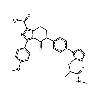 CNC(=O)N(C)Cc1nccn1-c1ccc(N2CCc3c(C(N)=O)nn(-c4ccc(OC)cc4)c3C2=O)cc1